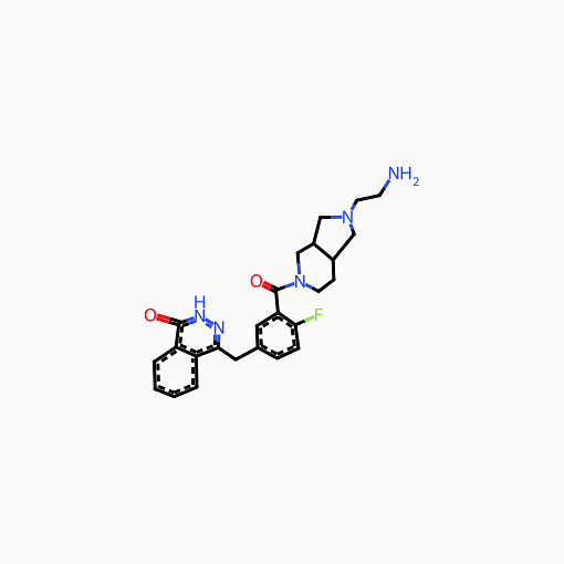 NCCN1CC2CCN(C(=O)c3cc(Cc4n[nH]c(=O)c5ccccc45)ccc3F)CC2C1